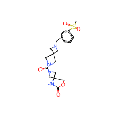 CS(=O)(=O)c1cccc(CN2CC3(C2)CN(C(=O)N2CC4(COC(=O)N4)C2)C3)c1